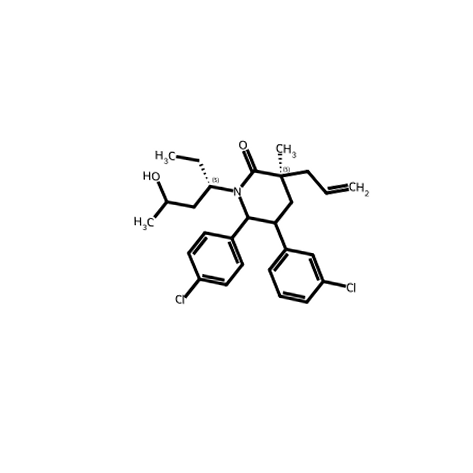 C=CC[C@@]1(C)CC(c2cccc(Cl)c2)C(c2ccc(Cl)cc2)N([C@@H](CC)CC(C)O)C1=O